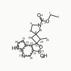 CCOC(=O)N1CCC2(C1)CC1(OB(O)c3cnc4[nH]ccc4c31)C2C